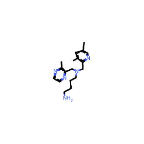 Cc1cnc(CN(CCCCN)Cc2nccnc2C)c(C)c1